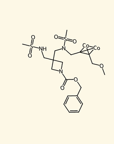 COC[C]12[Co]3[Co]1[C]32CN(CC1(CNS(C)(=O)=O)CN(C(=O)OCc2ccccc2)C1)S(C)(=O)=O